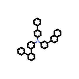 c1ccc(-c2ccc(N(c3cccc(-c4ccc5ccccc5c4)c3)c3cccc(-c4ccccc4-c4ccccc4)c3)cc2)cc1